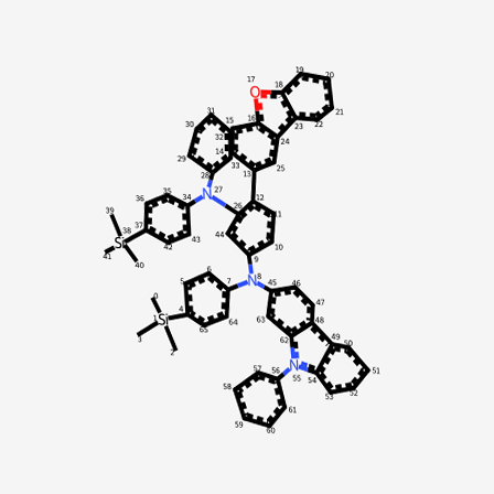 C[Si](C)(C)c1ccc(N(c2ccc(-c3ccc4oc5ccccc5c4c3)c(N(c3ccccc3)c3ccc([Si](C)(C)C)cc3)c2)c2ccc3c4ccccc4n(-c4ccccc4)c3c2)cc1